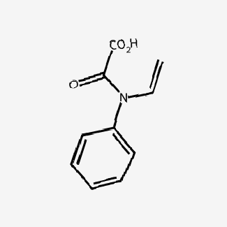 C=CN(C(=O)C(=O)O)c1ccccc1